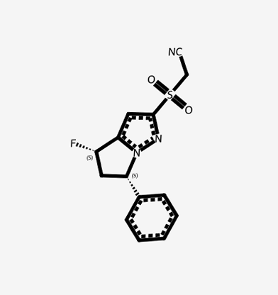 N#CCS(=O)(=O)c1cc2n(n1)[C@H](c1ccccc1)C[C@@H]2F